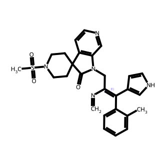 C=N/C(CN1C(=O)C2(CCN(S(C)(=O)=O)CC2)c2ccncc21)=C(/c1cc[nH]c1)c1ccccc1C